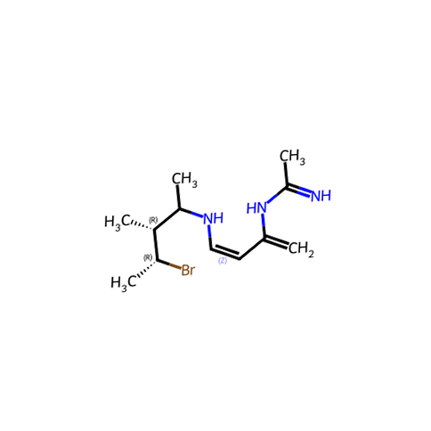 C=C(/C=C\NC(C)[C@@H](C)[C@@H](C)Br)NC(C)=N